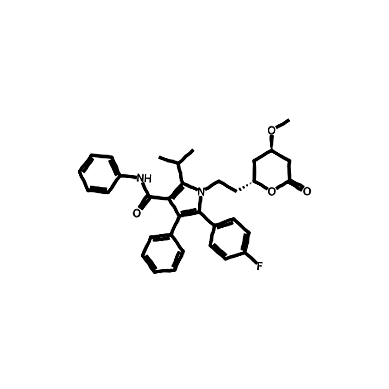 CO[C@H]1CC(=O)O[C@H](CCn2c(-c3ccc(F)cc3)c(-c3ccccc3)c(C(=O)Nc3ccccc3)c2C(C)C)C1